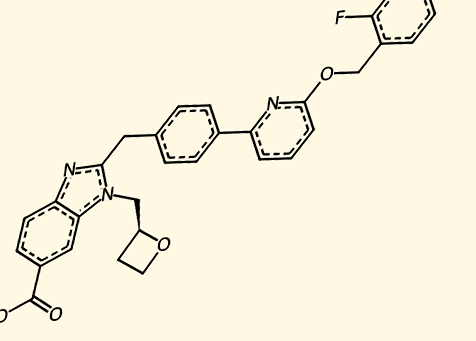 COC(=O)c1ccc2nc(Cc3ccc(-c4cccc(OCc5ccc(C(F)(F)F)cc5F)n4)cc3)n(C[C@@H]3CCO3)c2c1